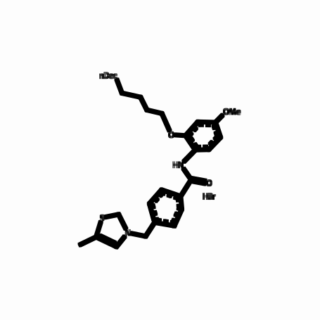 Br.CCCCCCCCCCCCCCOc1cc(OC)ccc1NC(=O)c1ccc(CN2C=C(C)SC2)cc1